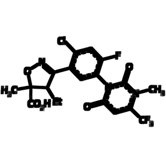 CCC1C(c2cc(-n3c(=O)cc(C(F)(F)F)n(C)c3=O)c(F)cc2Cl)=NOC1(C)C(=O)O